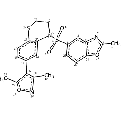 Cc1nc2cc(S(=O)(=O)N3CCSc4ccc(-c5c(C)noc5C)cc43)ccc2o1